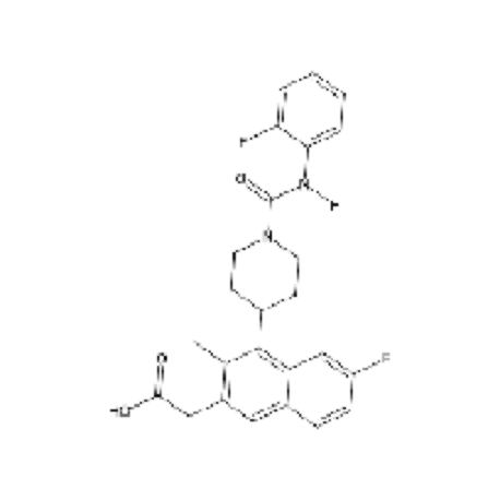 Cc1c(CC(=O)O)cc2ccc(F)cc2c1C1CCN(C(=O)N(F)c2ccccc2F)CC1